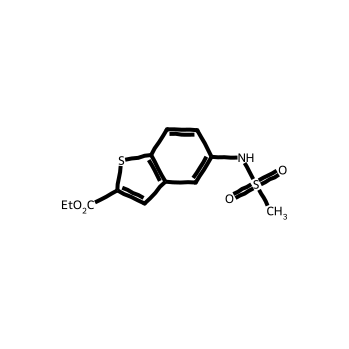 CCOC(=O)c1cc2cc(NS(C)(=O)=O)ccc2s1